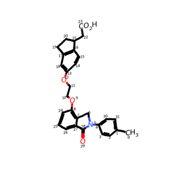 Cc1ccc(N2Cc3c(OCCOc4ccc5c(c4)CCC5CC(=O)O)cccc3C2=O)cc1